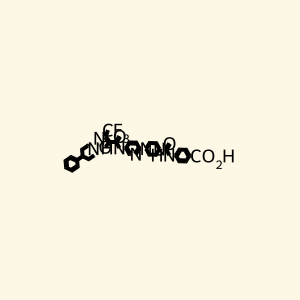 O=C(O)c1ccc(NC(=O)N2CCN(c3ccc(NC(=O)c4oc(N5CCC(c6ccccc6)CC5)nc4C(F)(F)F)cn3)CC2)cc1